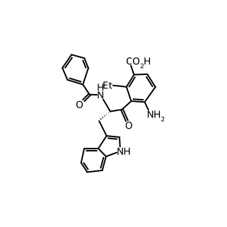 CCc1c(C(=O)O)ccc(N)c1C(=O)[C@H](Cc1c[nH]c2ccccc12)NC(=O)c1ccccc1